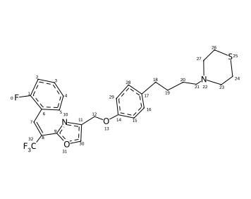 Fc1ccccc1C=C(c1nc(COc2ccc(CCCCN3CCSCC3)cc2)co1)C(F)(F)F